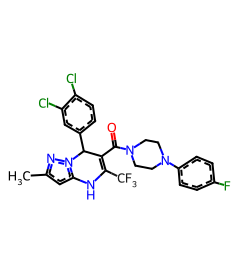 Cc1cc2n(n1)C(c1ccc(Cl)c(Cl)c1)C(C(=O)N1CCN(c3ccc(F)cc3)CC1)=C(C(F)(F)F)N2